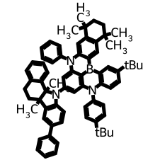 CC(C)(C)c1ccc(N2c3ccc(C(C)(C)C)cc3B3c4cc5c(cc4N(c4ccccc4)c4cc(N6c7ccc(-c8ccccc8)cc7C7(C)CCc8ccccc8C67C)cc2c43)C(C)(C)CCC5(C)C)cc1